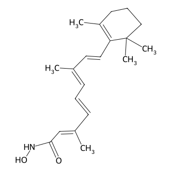 CC(C=CC1=C(C)CCCC1(C)C)=CC=CC(C)=CC(=O)NO